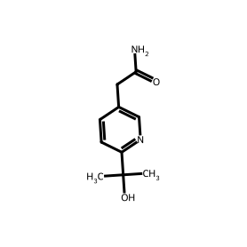 CC(C)(O)c1ccc(CC(N)=O)cn1